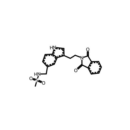 CS(=O)(=O)NCc1ccc2[nH]cc(CCN3C(=O)c4ccccc4C3=O)c2c1